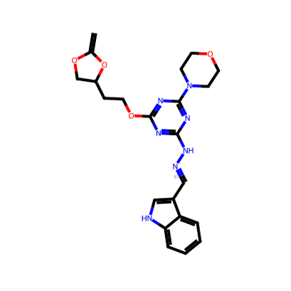 C=C1OCC(CCOc2nc(N/N=C/c3c[nH]c4ccccc34)nc(N3CCOCC3)n2)O1